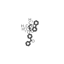 CC(C(C)C(C)(C)C(=O)Oc1ccc(C(=O)c2ccccc2)cc1)n1c2ccccc2c2ccccc21